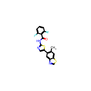 Cc1cc2scnc2cc1-c1cnc(NC(=O)c2c(F)cccc2F)s1